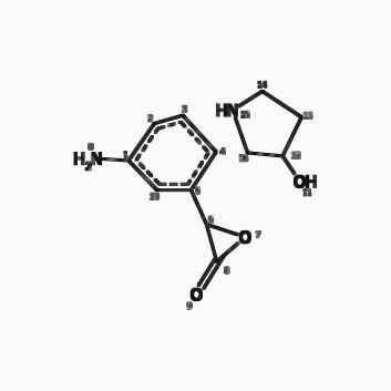 Nc1cccc(C2OC2=O)c1.OC1CCNC1